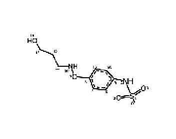 CS(=O)(=O)Nc1ccc(ONCCCO)cc1